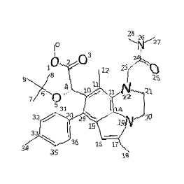 COC(=O)[C@@H](OC(C)(C)C)c1c(C)c2c3c(cc(C)n3CCN2CC(=O)N(C)C)c1-c1ccc(C)cc1